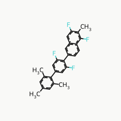 Cc1cc(C)c(-c2cc(F)c(-c3ccc4c(F)c(C)c(F)cc4c3)c(F)c2)c(C)c1